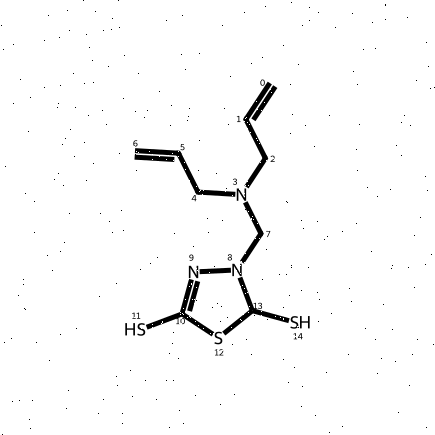 C=CCN(CC=C)CN1N=C(S)SC1S